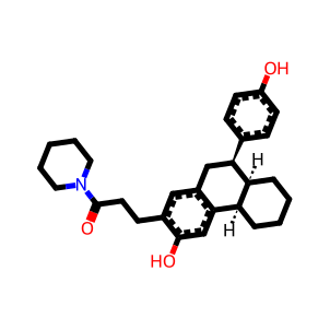 O=C(CCc1cc2c(cc1O)[C@@H]1CCCC[C@@H]1[C@H](c1ccc(O)cc1)C2)N1CCCCC1